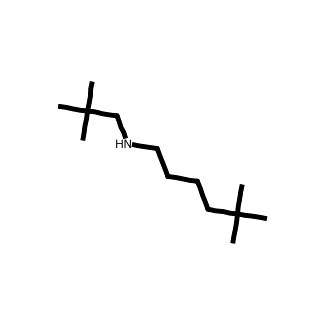 CC(C)(C)CCCCNCC(C)(C)C